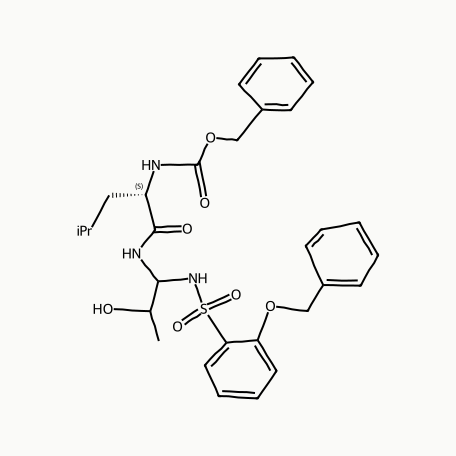 CC(C)C[C@H](NC(=O)OCc1ccccc1)C(=O)NC(NS(=O)(=O)c1ccccc1OCc1ccccc1)C(C)O